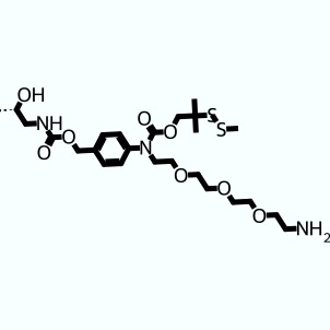 CSSC(C)(C)COC(=O)N(CCOCCOCCOCCN)c1ccc(COC(=O)NC[C@H](C)O)cc1